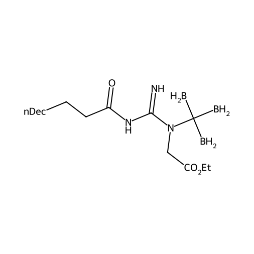 BC(B)(B)N(CC(=O)OCC)C(=N)NC(=O)CCCCCCCCCCCC